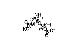 N[N+](=O)[O-].O=[N+]([O-])O.O=[N+]([O-])O.O=[N+]([O-])[O-].[K+]